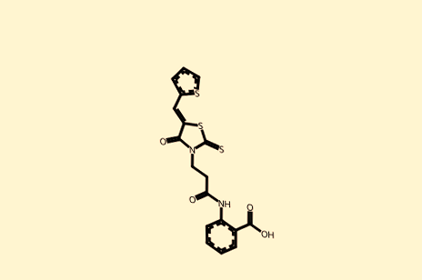 O=C(CCN1C(=O)/C(=C/c2cccs2)SC1=S)Nc1ccccc1C(=O)O